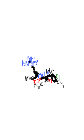 COC(=O)C(CCCCNC(=N)N)NC(=O)C1=Cc2c(cc(C)c(Cl)c2C)O[C@@H]1C(F)(F)F